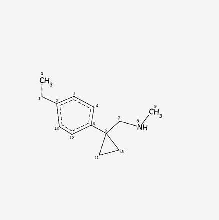 CCc1ccc(C2(CNC)CC2)cc1